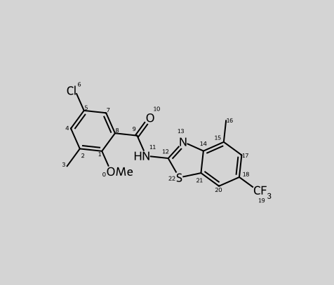 COc1c(C)cc(Cl)cc1C(=O)Nc1nc2c(C)cc(C(F)(F)F)cc2s1